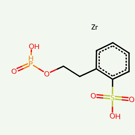 O=[PH](O)OCCc1ccccc1S(=O)(=O)O.[Zr]